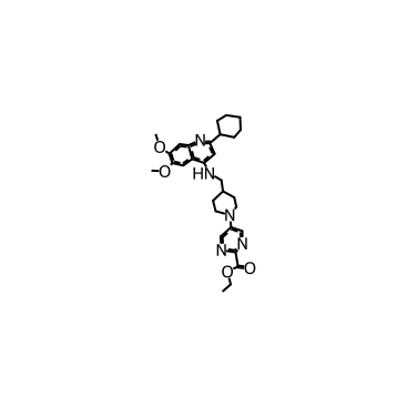 CCOC(=O)c1ncc(N2CCC(CNc3cc(C4CCCCC4)nc4cc(OC)c(OC)cc34)CC2)cn1